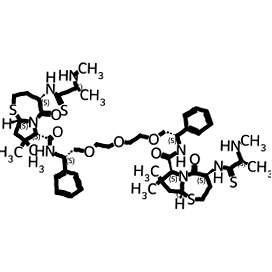 CN[C@@H](C)C(=S)N[C@H]1CCS[C@H]2CC(C)(C)[C@@H](C(=O)N[C@H](COCCOCCOC[C@@H](NC(=O)[C@H]3N4C(=O)[C@@H](NC(=S)[C@H](C)NC)CCS[C@H]4CC3(C)C)c3ccccc3)c3ccccc3)N2C1=O